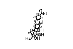 CCC(=O)c1ccc(Cc2cc(C34OC[C@](CO)(O3)C(O)[C@H](O)C4O)ccc2Cl)cc1